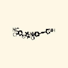 CC1(C)C(NC(=O)c2ccc(C#CC3CCNCC3)cc2)C(C)(C)C1Oc1ccc(C#N)c(Cl)c1